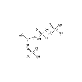 CCCCN(CCCC)CCCC.O=P(O)(O)O.O=P(O)(O)O.O=P(O)(O)O